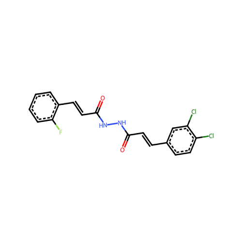 O=C(/C=C/c1ccc(Cl)c(Cl)c1)NNC(=O)/C=C/c1ccccc1F